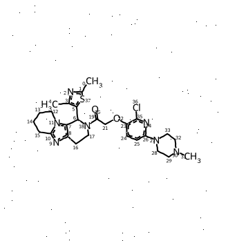 Cc1nc(C)c(C2c3c(nc4n3CCCC4)CCN2C(=O)COc2ccc(N3CCN(C)CC3)nc2Cl)s1